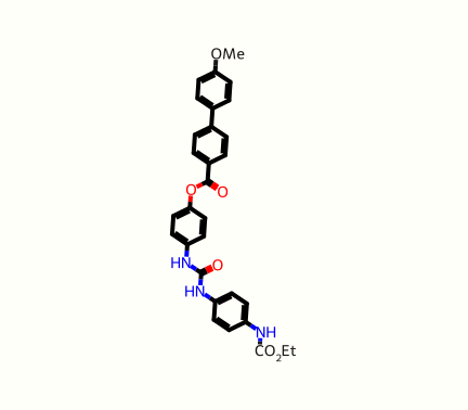 CCOC(=O)Nc1ccc(NC(=O)Nc2ccc(OC(=O)c3ccc(-c4ccc(OC)cc4)cc3)cc2)cc1